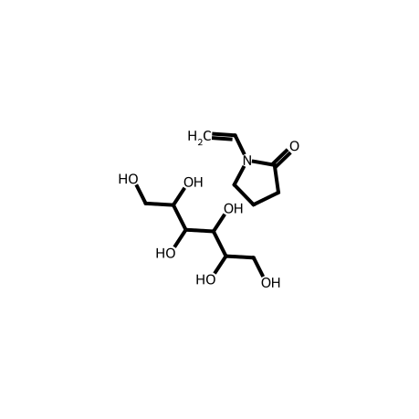 C=CN1CCCC1=O.OCC(O)C(O)C(O)C(O)CO